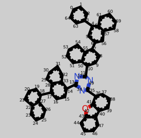 c1ccc(-c2cc(-c3ccc(-c4nc(-c5ccc(-c6cccc7ccccc67)c6ccccc56)nc(-c5cccc6c5oc5ccccc56)n4)c4ccccc34)cc3ccccc23)cc1